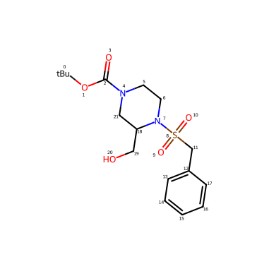 CC(C)(C)OC(=O)N1CCN(S(=O)(=O)Cc2ccccc2)C(CO)C1